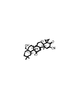 CC1(C)CC[C@]2(CO)CC[C@]3(C)[C@H](C(=O)C=C4[C@@]5(C)C=C(C#N)C(=O)C6(CC6)[C@@H]5CC[C@]43C)[C@@H]2C1